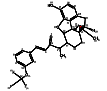 CN(C(=O)/C=C/c1cccc(OC(F)(F)F)c1)C1CC[C@@]2(O)[C@H]3Cc4ccc(O)c5c4[C@@]2(CCN3C)C1O5